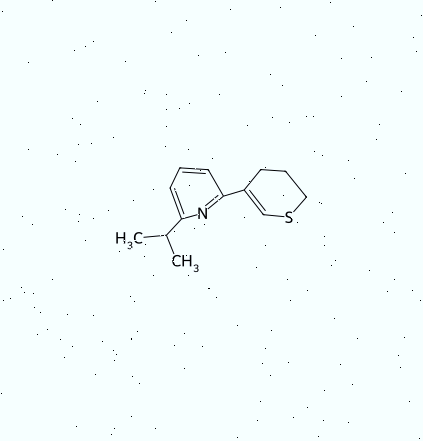 CC(C)c1cccc(C2=CSCCC2)n1